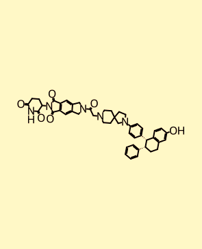 O=C1CCC(N2C(=O)c3cc4c(cc3C2=O)CN(C(=O)CN2CCC3(CC2)CCN(c2ccc([C@@H]5c6ccc(O)cc6CC[C@@H]5c5ccccc5)cc2)C3)C4)C(=O)N1